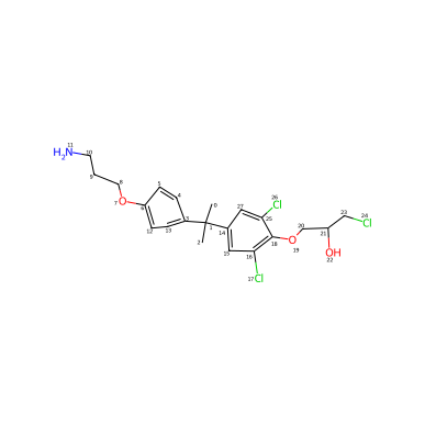 CC(C)(c1ccc(OCCCN)cc1)c1cc(Cl)c(OCC(O)CCl)c(Cl)c1